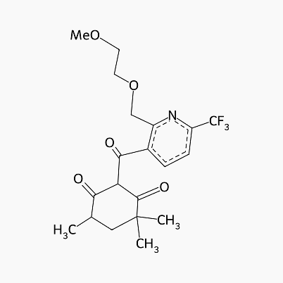 COCCOCc1nc(C(F)(F)F)ccc1C(=O)C1C(=O)C(C)CC(C)(C)C1=O